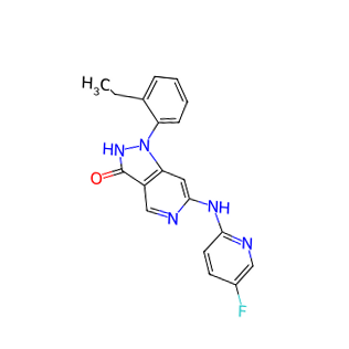 CCc1ccccc1-n1[nH]c(=O)c2cnc(Nc3ccc(F)cn3)cc21